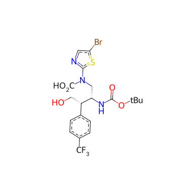 CC(C)(C)OC(=O)N[C@@H](CN(C(=O)O)c1ncc(Br)s1)[C@@H](CO)c1ccc(C(F)(F)F)cc1